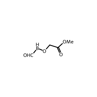 COC(=O)COBC=O